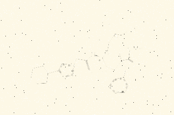 COC(=O)C1(Sc2ccccc2)C[C@H](OC(C)=O)[C@@H](NC(=O)Cn2cc(C3CCCCC3)nn2)[C@H]([C@H](OC(C)=O)[C@@H](COC(C)=O)OC(C)=O)O1